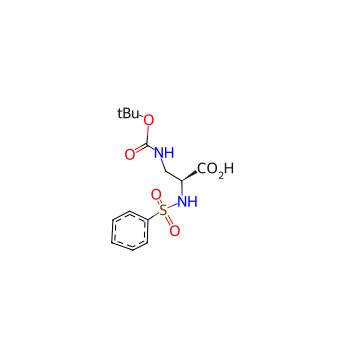 CC(C)(C)OC(=O)NC[C@H](NS(=O)(=O)c1ccccc1)C(=O)O